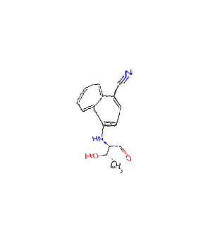 C[C@H](O)[C@H](C=O)Nc1ccc(C#N)c2ccccc12